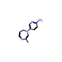 CC1=CN(c2ccc(N)nc2)CC=C=N1